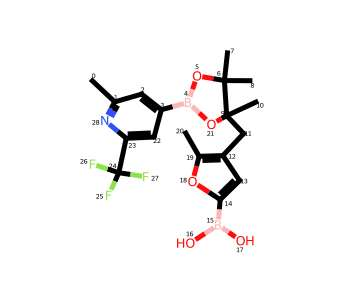 Cc1cc(B2OC(C)(C)C(C)(Cc3cc(B(O)O)oc3C)O2)cc(C(F)(F)F)n1